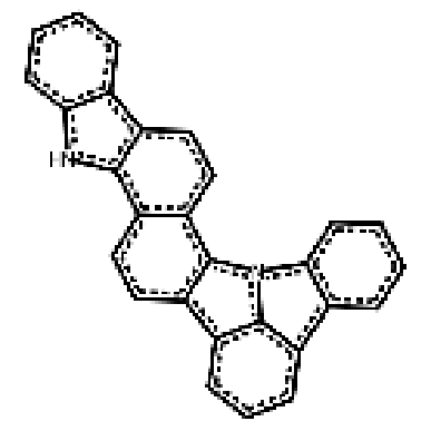 c1ccc2c(c1)[nH]c1c2ccc2c1ccc1c3cccc4c5ccccc5n(c21)c43